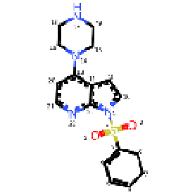 O=S(=O)(C1=CC=CCC1)n1ccc2c(N3CCNCC3)ccnc21